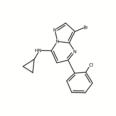 Clc1ccccc1-c1cc(NC2CC2)n2ncc(Br)c2n1